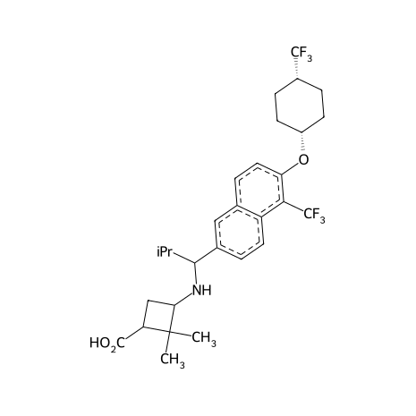 CC(C)C(NC1CC(C(=O)O)C1(C)C)c1ccc2c(C(F)(F)F)c(O[C@H]3CC[C@@H](C(F)(F)F)CC3)ccc2c1